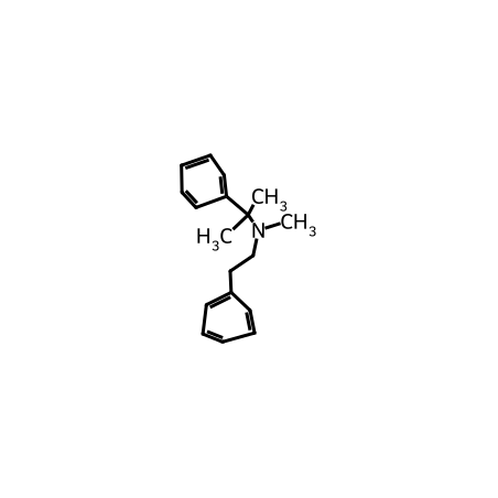 CN(CCc1ccccc1)C(C)(C)c1ccccc1